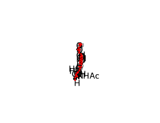 C=C1C[C@H](CC[C@@]23C[C@H]4OC5C(O[C@H]6CC[C@H](CC(=O)C[C@@H]7C[C@@H](C[C@H](O)CNC(=O)CNC(=O)[C@H](Cc8ccccc8)NC(=O)CNC(C)=O)O[C@H]7C)O[C@@H]6[C@@H]5O2)C4O3)O[C@H]1CC[C@H]1C[C@@H](C)C(=C)[C@@H](C)O1